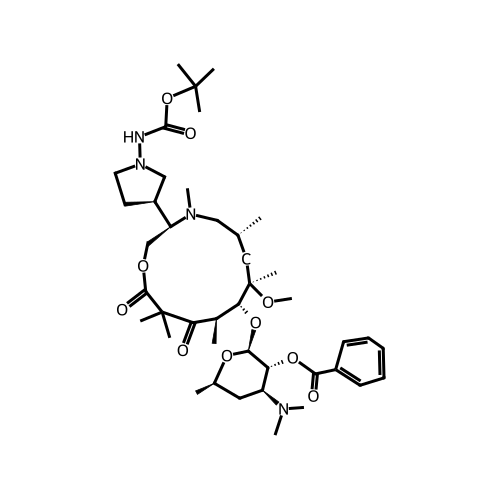 CO[C@]1(C)C[C@@H](C)CN(C)[C@H]([C@H]2CCN(NC(=O)OC(C)(C)C)C2)COC(=O)C(C)(C)C(=O)[C@H](C)[C@H]1O[C@@H]1O[C@H](C)C[C@H](N(C)C)[C@H]1OC(=O)c1ccccc1